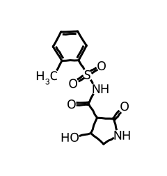 Cc1ccccc1S(=O)(=O)NC(=O)C1C(=O)NCC1O